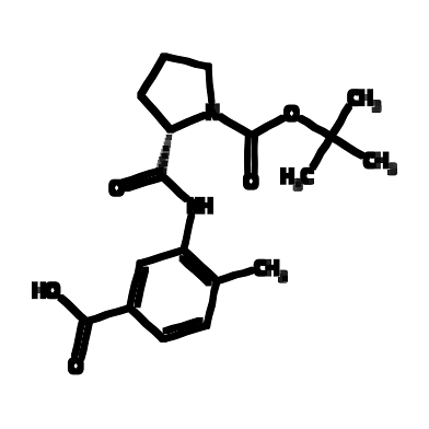 Cc1ccc(C(=O)O)cc1NC(=O)[C@@H]1CCCN1C(=O)OC(C)(C)C